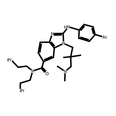 CC(=O)c1ccc(Nc2nc3ccc(C(=O)N(CCC(C)C)CCC(C)C)cc3n2CC(C)(C)CN(C)C)cc1